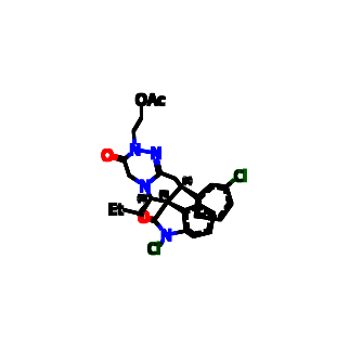 C=C(CC)[C@H]1N2CC(=O)N(CCOC(C)=O)N=C2C[C@@H](c2cccc(Cl)c2)[C@]12C(=O)N(Cl)c1ccccc12